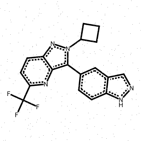 FC(F)(F)c1ccc2nn(C3CCC3)c(-c3ccc4[nH]ncc4c3)c2n1